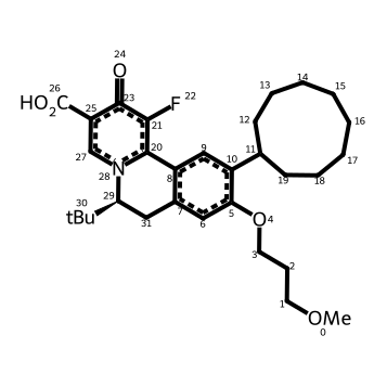 COCCCOc1cc2c(cc1C1CCCCCCCC1)-c1c(F)c(=O)c(C(=O)O)cn1[C@H](C(C)(C)C)C2